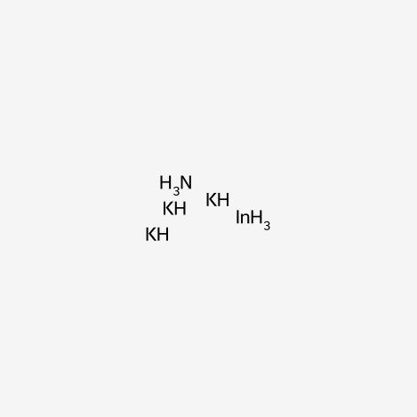 N.[InH3].[KH].[KH].[KH]